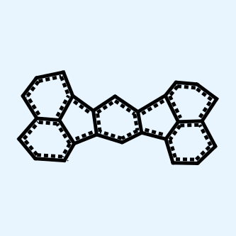 [c]1ccc2cccc3c4cc5c(cc4c1c23)c1cccc2cccc5c21